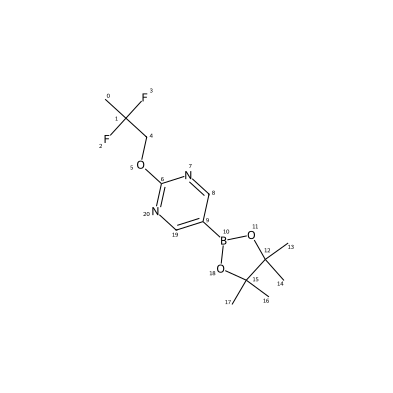 CC(F)(F)COc1ncc(B2OC(C)(C)C(C)(C)O2)cn1